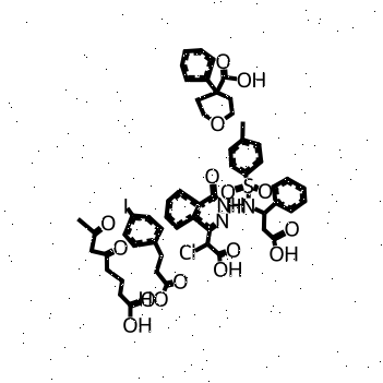 CC(=O)CC(=O)CCCC(=O)O.Cc1ccc(S(=O)(=O)NC(CC(=O)O)c2ccccc2)cc1.O=C(O)C(Cl)c1n[nH]c(=O)c2ccccc12.O=C(O)C1(c2ccccc2)CCOCC1.O=C(O)CCc1ccc(I)cc1